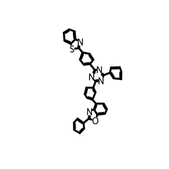 c1ccc(-c2nc(-c3ccc(-c4nc5ccccc5s4)cc3)nc(-c3cccc(-c4cccc5oc(-c6ccccc6)nc45)c3)n2)cc1